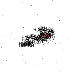 C=CC(C)(O)CC/C=C(\C)C(=O)OC1C(OCC2OC(OC(=O)C34CCC(C)(C)CC3C3=CCC5C6(C)CCC(OC7OC(COC8OCC(O)C(O)C8OC8OCC(O)C(O)C8O)C(O)C(O)C7O)C(C)(C)C6CCC5(C)C3(C)CC4O)C(OC3OC(C)C(OC4OCC(O)C(OC5OCC(O)C(O)C5O)C4O)C(O)C3O)C(OC(=O)/C(C)=C/CCC(C)(O)C=C)C2O)OC(C)C(O)C1O